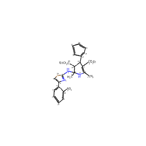 CCOC(=O)C1=C(C)NC(C)(Nc2nc(-c3ccccc3[N+](=O)[O-])cs2)C(C(=O)OCC)C1c1ccccc1